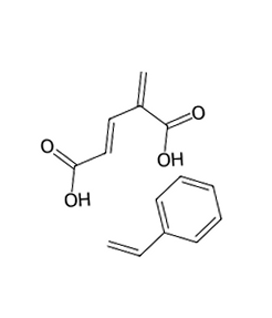 C=C(C=CC(=O)O)C(=O)O.C=Cc1ccccc1